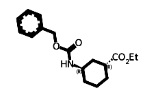 CCOC(=O)[C@@H]1CCC[C@@H](NC(=O)OCc2ccccc2)C1